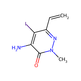 C=Cc1nn(C)c(=O)c(N)c1I